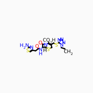 C=CCn1nnnc1SCC1=C(C(=O)O)N2C(=O)C(NC(=O)Cc3csc(N)n3)[C@H]2SC1